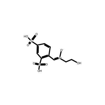 O=S(=O)(O)c1ccc(C=[N+]([O-])CCO)c(S(=O)(=O)O)c1